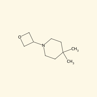 CC1(C)CCN(C2COC2)CC1